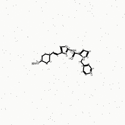 COC1CCC(C=Cc2csc(NC(=O)c3cccn3Cc3ccncc3)n2)CC1